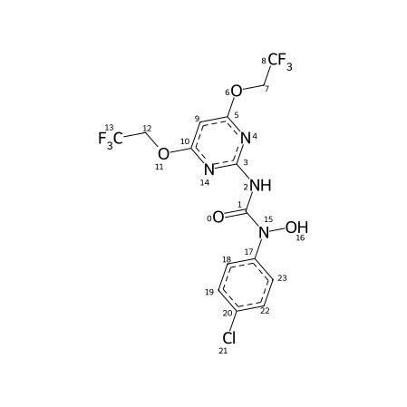 O=C(Nc1nc(OCC(F)(F)F)cc(OCC(F)(F)F)n1)N(O)c1ccc(Cl)cc1